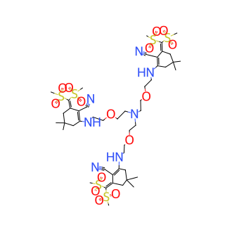 CC1(C)CC(NCCOCCN(CCOCCNC2=C(C#N)C(=C(S(C)(=O)=O)S(C)(=O)=O)CC(C)(C)C2)CCOCCNC2=C(C#N)C(=C(S(C)(=O)=O)S(C)(=O)=O)CC(C)(C)C2)=C(C#N)C(=C(S(C)(=O)=O)S(C)(=O)=O)C1